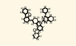 C1=CC2Oc3c(ccc4c3c3c(n4-c4nc(-c5ccccc5)c5c(n4)=CCCC=5)CCC(c4cccc5c4oc4ccccc45)=C3)C2C=C1